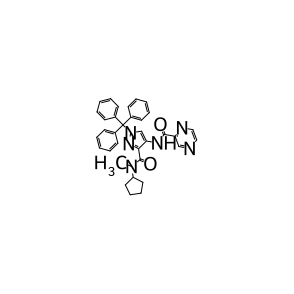 CN(C(=O)c1nn(C(c2ccccc2)(c2ccccc2)c2ccccc2)cc1NC(=O)c1cnccn1)C1CCCC1